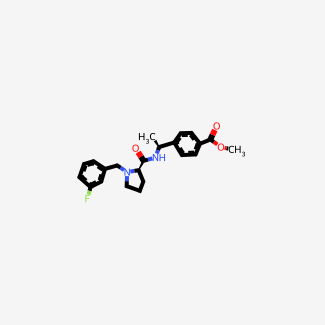 COC(=O)c1ccc([C@H](C)NC(=O)[C@H]2CCCN2Cc2cccc(F)c2)cc1